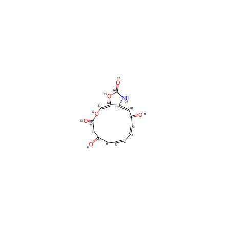 O=C1C=CC=CCC(=O)CC(=O)OC=c2oc(=O)[nH]c2=C1